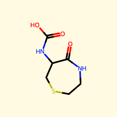 O=C(O)NC1CSCCNC1=O